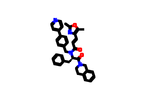 Cc1nc(/C=C/C(=O)N(Cc2ccc(-c3ccncc3)cc2)[C@@H](Cc2ccccc2)C(=O)N2CCc3ccccc3C2)c(C)o1